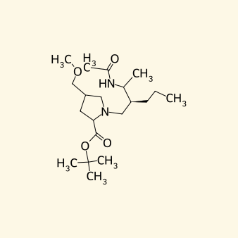 CCC[C@@H](CN1CC(COC)CC1C(=O)OC(C)(C)C)C(C)NC(C)=O